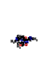 CC[C@H]1C[C@@H](n2c(=O)nc(-c3cnn(C)c3)c3oc4ccc(-c5cn(C)nc5C)nc4c32)CCO1